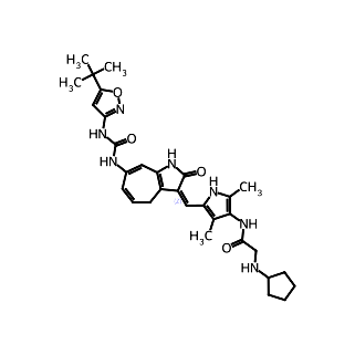 Cc1[nH]c(/C=C2\C(=O)NC3=C2CC=CC(NC(=O)Nc2cc(C(C)(C)C)on2)=C3)c(C)c1NC(=O)CNC1CCCC1